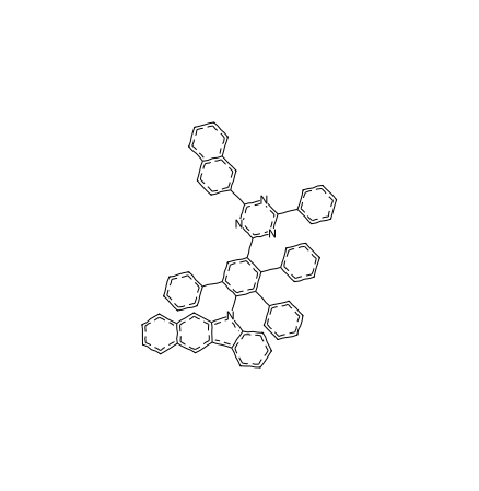 c1ccc(-c2nc(-c3ccc4ccccc4c3)nc(-c3cc(-c4ccccc4)c(-n4c5ccccc5c5cc6ccccc6cc54)c(-c4ccccc4)c3-c3ccccc3)n2)cc1